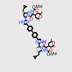 COC(=O)N[C@H](C(=O)N(C[C@@H](C)CC1CC1)[C@@H](C)c1nc(-c2ccc(-c3ccc(-c4c[nH]c([C@@H]5C[C@@H](CC6CC6)CN5C(=O)[C@@H](NC(=O)OC)C5C[C@@H](C)O[C@H](C)C5)n4)cc3)cc2)c[nH]1)C1C[C@@H](C)O[C@H](C)C1